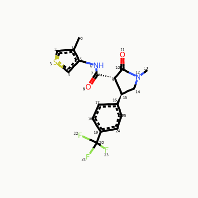 Cc1cscc1NC(=O)[C@@H]1C(=O)N(C)C[C@H]1c1ccc(C(F)(F)F)cc1